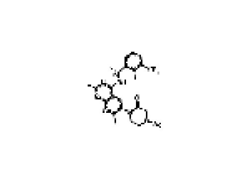 CC(=O)N1CCN(c2cc3c(N[C@H](C)c4cccc(C(F)(F)F)c4C)nc(C)nc3nc2C)C(=O)C1